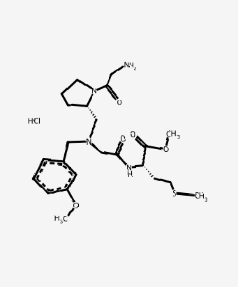 COC(=O)[C@H](CCSC)NC(=O)CN(Cc1cccc(OC)c1)C[C@@H]1CCCN1C(=O)CN.Cl